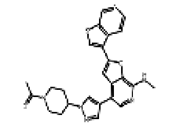 CNc1ncc(-c2cnn(C3CCN(C(C)=O)CC3)c2)c2cc(-c3csc4cnccc34)oc12